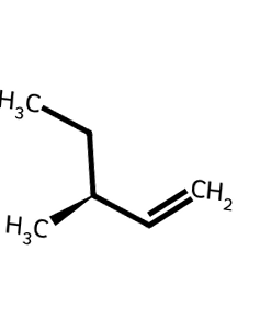 C=C[C@@H](C)CC